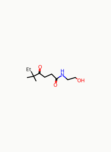 CCC(C)(C)C(=O)CCC(=O)NCCO